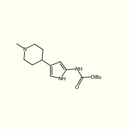 CC(C)COC(=O)Nc1cc(C2CCN(C)CC2)c[nH]1